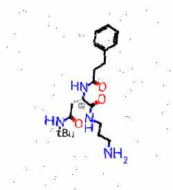 CC(C)(C)NC(=O)C[C@H](NC(=O)CCc1ccccc1)C(=O)NCCCN